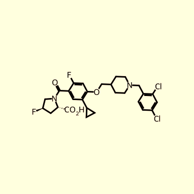 O=C(O)[C@@H]1C[C@@H](F)CN1C(=O)c1cc(C2CC2)c(OCC2CCN(Cc3ccc(Cl)cc3Cl)CC2)cc1F